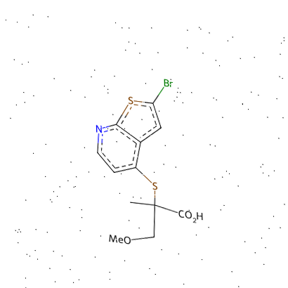 COCC(C)(Sc1ccnc2sc(Br)cc12)C(=O)O